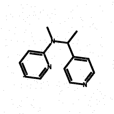 CC(c1ccncc1)N(C)c1cc[c]cn1